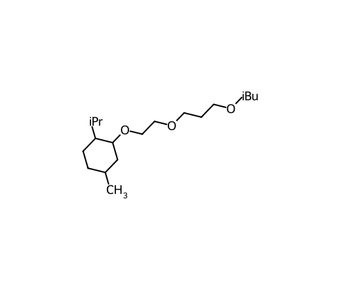 CCC(C)OCCCOCCOC1CC(C)CCC1C(C)C